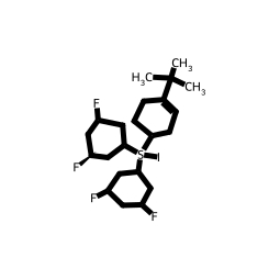 CC(C)(C)C1=CCC(S(I)(C2CC(F)CC(F)C2)C2CC(F)C[C@H](F)C2)CC1